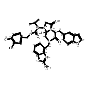 CC(C)N(C(=O)NCc1ccc(Cl)c(Cl)c1)N1CC(=O)N2[C@@H](Cc3ccc4occc4c3)C(=O)N(Cc3cccc4sc(N)nc34)C[C@@H]21